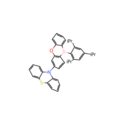 CC(C)c1cc(C(C)C)c(B2c3ccccc3Oc3cc(N4c5ccccc5Sc5ccccc54)ccc32)c(C(C)C)c1